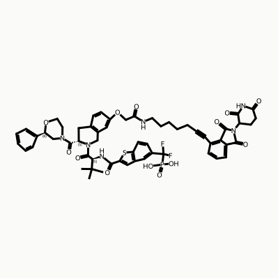 CC(C)(C)[C@H](NC(=O)c1cc2cc(C(F)(F)P(=O)(O)O)ccc2s1)C(=O)N1Cc2cc(OCC(=O)NCCCCCC#Cc3cccc4c3C(=O)N(C3CCC(=O)NC3=O)C4=O)ccc2C[C@H]1C(=O)N1CCO[C@H](c2ccccc2)C1